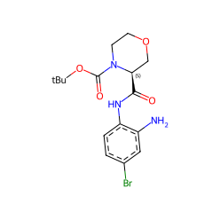 CC(C)(C)OC(=O)N1CCOC[C@H]1C(=O)Nc1ccc(Br)cc1N